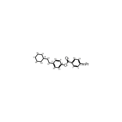 CCCc1ccc(C(=O)Oc2ccc(CCC3CC[CH]CC3)cc2)cc1